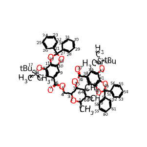 CC1OC(COC(=O)c2cc3c(c(O[Si](C)(C)C(C)(C)C)c2)OC(c2ccccc2)(c2ccccc2)O3)C(OC(=O)c2cc3c(c(O[Si](C)(C)C(C)(C)C)c2)OC(c2ccccc2)(c2ccccc2)O3)C(C)C1C